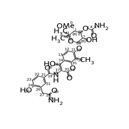 CO[C@@H]1[C@@H](OC(N)=O)[C@@H](O)[C@H](Oc2ccc3c(O)c(NC(=O)c4ccc(O)c(CC(N)=O)c4)c(=O)oc3c2C)OC1(C)C